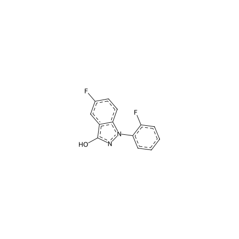 Oc1nn(-c2ccccc2F)c2ccc(F)cc12